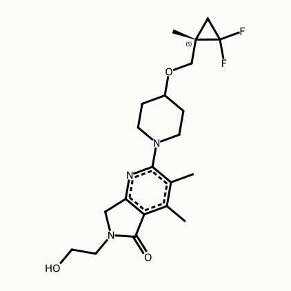 Cc1c(N2CCC(OC[C@]3(C)CC3(F)F)CC2)nc2c(c1C)C(=O)N(CCO)C2